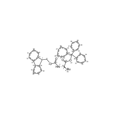 CC[C@H](C)[C@H](NC(=O)OCC1c2ccccc2-c2ccccc21)C(=O)OC(c1ccccc1)(c1ccccc1)c1ccccc1